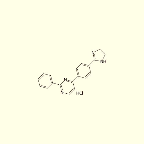 Cl.c1ccc(-c2nccc(-c3ccc(C4=NCCN4)cc3)n2)cc1